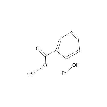 CC(C)O.CCCOC(=O)c1ccccc1